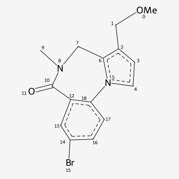 COCc1ccn2c1CN(C)C(=O)c1cc(Br)ccc1-2